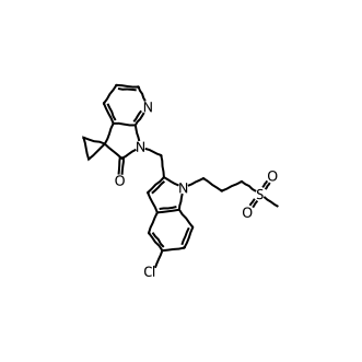 CS(=O)(=O)CCCn1c(CN2C(=O)C3(CC3)c3cccnc32)cc2cc(Cl)ccc21